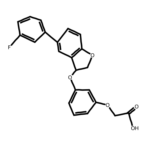 O=C(O)COc1cccc(OC2COc3ccc(-c4cccc(F)c4)cc32)c1